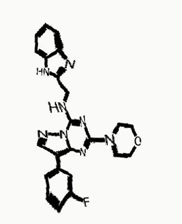 Fc1cccc(-c2cnn3c(NCc4nc5ccccc5[nH]4)nc(N4CCOCC4)nc23)c1